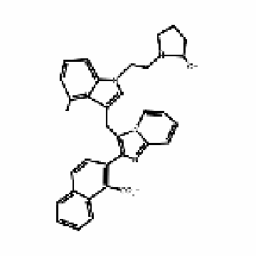 Cc1cccc2c1c(Cc1c(-c3ccc4ccccc4c3C(=O)O)nc3ccccn13)cn2CCN1CCCC1O